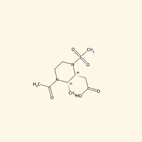 CC(=O)N1CCN(S(C)(=O)=O)[C@H](CC(=O)O)[C@@H]1C